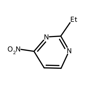 CCc1nccc([N+](=O)[O-])n1